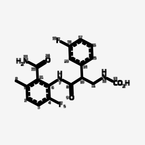 Cc1ccc(F)c(NC(=O)C(CNC(=O)O)c2cccc(F)c2)c1C(N)=O